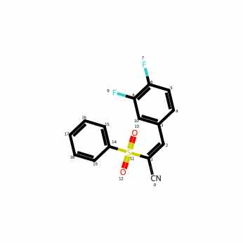 N#CC(=Cc1ccc(F)c(F)c1)S(=O)(=O)c1ccccc1